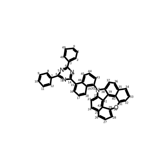 c1ccc(-c2nc(-c3ccccc3)nc(-c3cccc4c(-n5c6ccc7cccc8oc9cccc%10ccc5c(c%109)c6c78)cccc34)n2)cc1